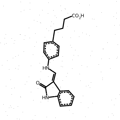 O=C(O)CCCc1ccc(NC=C2C(=O)Nc3ccccc32)cc1